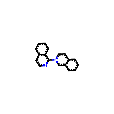 c1ccc2c[n+](-c3nccc4ccccc34)ccc2c1